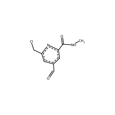 CNC(=O)c1cc(C=O)cc(CCl)n1